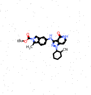 Cc1c2ccc(Nc3nn(C4CCCCC4C#N)c4cc[nH]c(=O)c34)cc2cn1C(=O)OC(C)(C)C